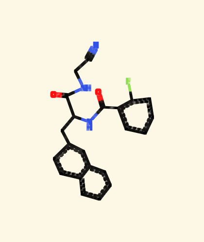 N#CCNC(=O)C(Cc1ccc2ccccc2c1)NC(=O)c1ccccc1F